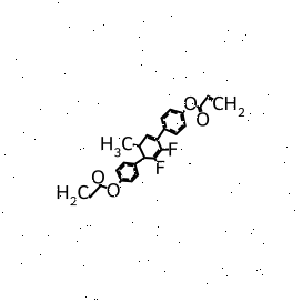 C=CC(=O)Oc1ccc(C2=CC(C)C(c3ccc(OC(=O)C=C)cc3)C(F)=C2F)cc1